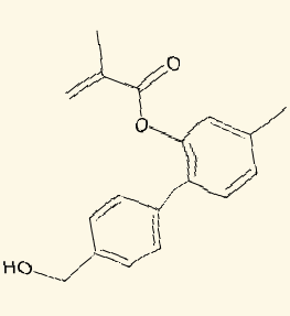 C=C(C)C(=O)Oc1cc(C)ccc1-c1ccc(CO)cc1